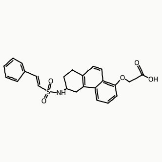 O=C(O)COc1cccc2c3c(ccc12)CCC(NS(=O)(=O)C=Cc1ccccc1)C3